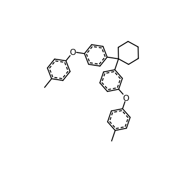 Cc1ccc(Oc2ccc(C3(c4cccc(Oc5ccc(C)cc5)c4)CCCCC3)cc2)cc1